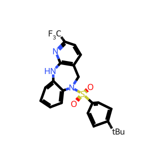 CC(C)(C)c1ccc(S(=O)(=O)N2Cc3ccc(C(F)(F)F)nc3Nc3ccccc32)cc1